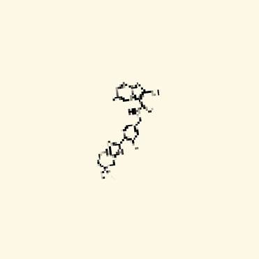 CCc1nc2ncc(C)cn2c1C(=O)NCc1ccc(-c2nc3n(n2)CCC(C(F)(F)F)C3)c(F)c1